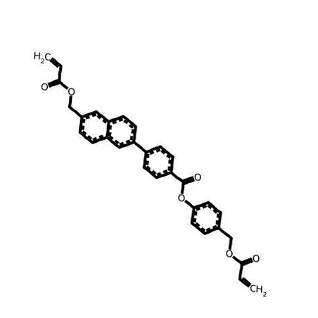 C=CC(=O)OCc1ccc(OC(=O)c2ccc(-c3ccc4cc(COC(=O)C=C)ccc4c3)cc2)cc1